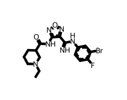 CCN1CCCC(C(=O)Nc2nonc2C(=N)Nc2ccc(F)c(Br)c2)C1